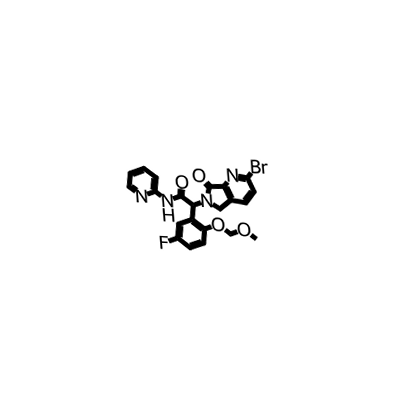 COCOc1ccc(F)cc1C(C(=O)Nc1ccccn1)N1Cc2ccc(Br)nc2C1=O